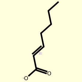 CCCC/C=C/C([O])=O